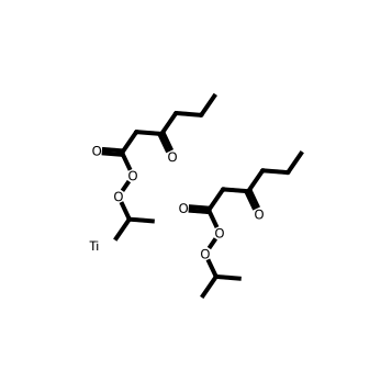 CCCC(=O)CC(=O)OOC(C)C.CCCC(=O)CC(=O)OOC(C)C.[Ti]